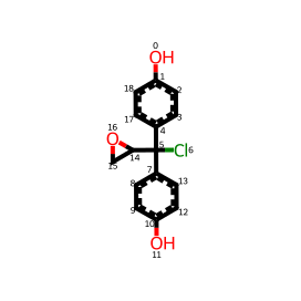 Oc1ccc(C(Cl)(c2ccc(O)cc2)C2CO2)cc1